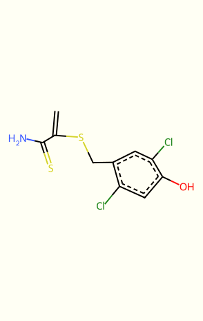 C=C(SCc1cc(Cl)c(O)cc1Cl)C(N)=S